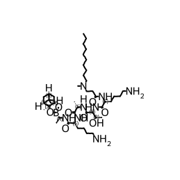 CCCCCCCCCCN(C)CCC(=O)N[C@@H](CCCCN)C(=O)N[C@H](C(=O)N[C@@H](C)C(=O)N[C@@H](CCCCN)C(=O)N[C@@H](C)B1O[C@@H]2C[C@@H]3C[C@@H](C3(C)C)[C@]2(C)O1)[C@@H](C)O